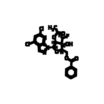 CC(=O)O[C@H]1[C@H](n2ncc3c(Cl)cc(Cl)nc32)O[C@H](COC(=O)c2ccccc2)[C@]1(O)C(F)F